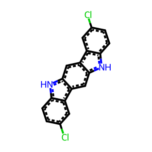 Clc1ccc2[nH]c3cc4c(cc3c2c1)[nH]c1ccc(Cl)cc14